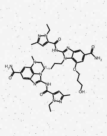 CCn1nc(C)cc1C(=O)Nc1nc2cc(C(N)=O)cc(OCCCO)c2n1CCC[C@H]1CN(C)c2cc(C(N)=O)cc3nc(NC(=O)c4cc(C)nn4CC)n1c23